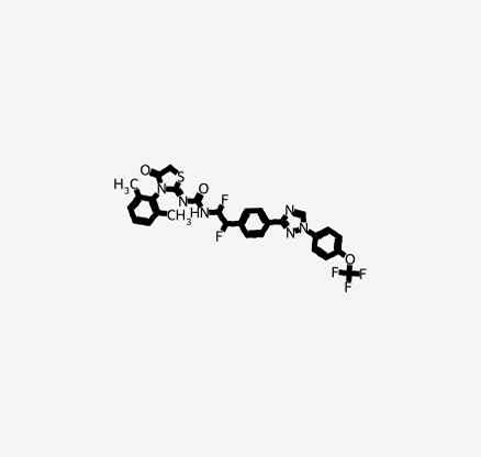 Cc1cccc(C)c1N1C(=O)CS/C1=N\C(=O)NC(F)C(F)c1ccc(-c2ncn(-c3ccc(OC(F)(F)F)cc3)n2)cc1